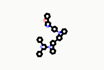 c1ccc(-c2cc(-n3c4ccccc4c4cc(-c5ccc6c7ccccc7n(-c7ccc(-c8cc9c(cn8)oc8ccccc89)cc7)c6c5)ccc43)cc(-c3ccccc3)n2)cc1